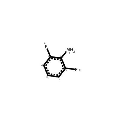 Fc1cccc(F)[c]1[AlH2]